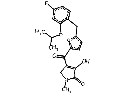 CC(C)Oc1cc(F)ccc1Cc1ccc(C(=O)C2=C(O)C(=O)N(C)C2)o1